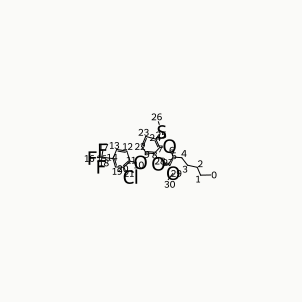 CCCCCC(Oc1cc(Oc2ccc(C(F)(F)F)cc2Cl)ccc1SC)C(=O)OC